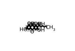 CCCCCC(O)c1c(O)cc2c(c1O)C(=O)c1c(O)cc(O)cc1C2=O